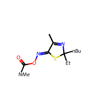 CCCCC1(CC)N=C(C)C(=NOC(=O)NC)S1